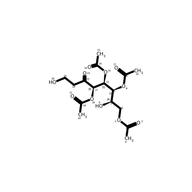 CC(=O)OC[C@@H](O)[C@H](OC(C)=O)[C@H](OC(C)=O)[C@@H](OC(C)=O)C(=O)CCO